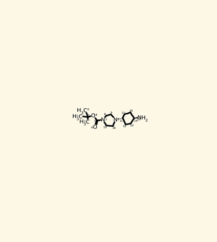 CC(C)(C)OC(=O)N1CCN([C@H]2CC[C@H](N)CC2)CC1